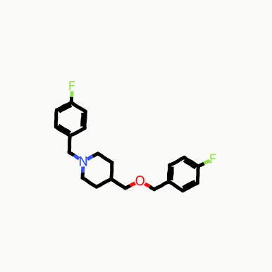 Fc1ccc(COCC2CCN(Cc3ccc(F)cc3)CC2)cc1